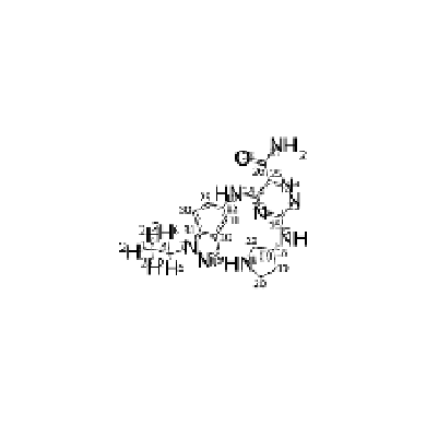 [2H]C([2H])([2H])C([2H])([2H])n1ncc2cc(Nc3nc(N[C@@H]4CCNC4)nnc3C(N)=O)ccc21